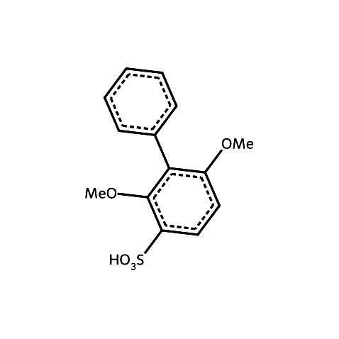 COc1ccc(S(=O)(=O)O)c(OC)c1-c1ccccc1